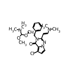 CN(C)C=Cc1nn2ccc(Cl)c2c(=O)n1Cc1ccccc1.COC(OC)N(C)C